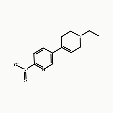 CCN1CC=C(c2ccc([N+](=O)[O-])nc2)CC1